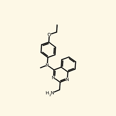 CCOc1ccc(N(C)c2nc(CN)nc3ccccc23)cc1